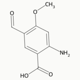 COc1cc(N)c(C(=O)O)cc1C=O